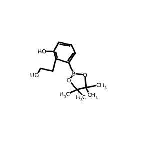 CC1(C)OB(c2cccc(O)c2CCO)OC1(C)C